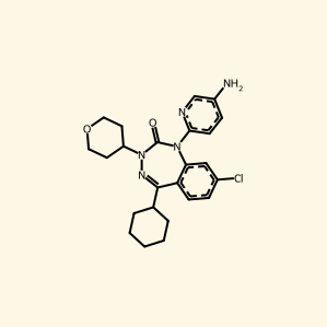 Nc1ccc(N2C(=O)N(C3CCOCC3)N=C(C3CCCCC3)c3ccc(Cl)cc32)nc1